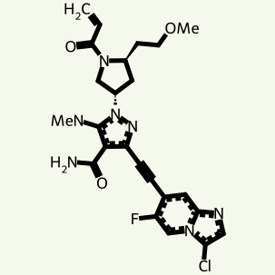 C=CC(=O)N1C[C@@H](n2nc(C#Cc3cc4ncc(Cl)n4cc3F)c(C(N)=O)c2NC)C[C@@H]1CCOC